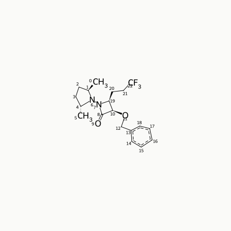 C[C@@H]1CC[C@@H](C)N1N1C(=O)[C@H](OCc2ccccc2)[C@@H]1CCC(F)(F)F